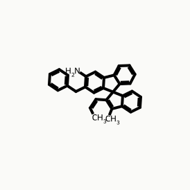 C/C=C\C1=C(C)c2ccccc2C12c1ccccc1-c1cc(N)c(Cc3ccccc3)cc12